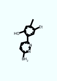 Bc1ccc(-c2cc(CC)c(C)cc2O)nn1